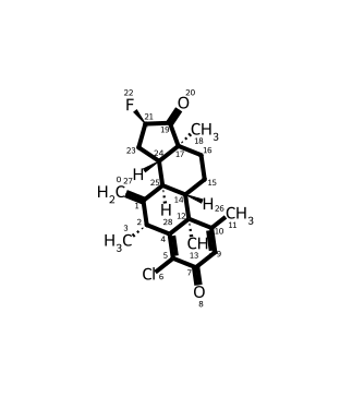 C=C1[C@@H](C)C2=C(Cl)C(=O)C=C(C)[C@]2(C)[C@H]2CC[C@]3(C)C(=O)[C@H](F)C[C@H]3[C@H]12